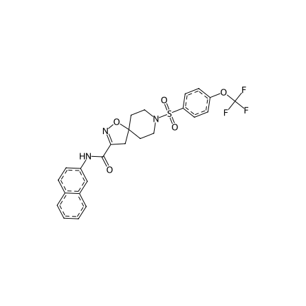 O=C(Nc1ccc2ccccc2c1)C1=NOC2(CCN(S(=O)(=O)c3ccc(OC(F)(F)F)cc3)CC2)C1